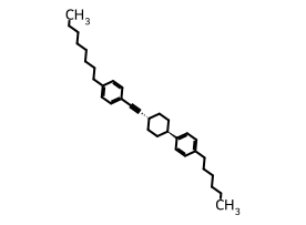 CCCCCCCCc1ccc(C#C[C@H]2CC[C@H](c3ccc(CCCCCC)cc3)CC2)cc1